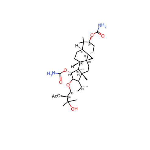 CC(=O)O[C@@H]([C@H]1C[C@@H](C)C2C(O1)[C@H](OC(N)=O)[C@@]1(C)[C@@H]3CC[C@H]4C(C)(C)[C@@H](OC(N)=O)CC[C@@]45C[C@@]35CC[C@]21C)C(C)(C)O